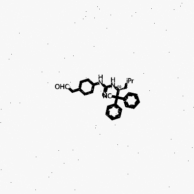 CC(C)C[C@H](NC(=O)NC1CCC(CC=O)CC1)C(C#N)(c1ccccc1)c1ccccc1